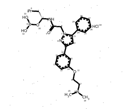 CC(C)C[C@H](NC(=O)Cn1nc(-c2cccc(OCCN(C)C)c2)cc1-c1ccccc1)OB(O)O.Cl